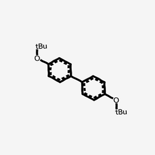 CC(C)(C)Oc1ccc(-c2ccc(OC(C)(C)C)cc2)cc1